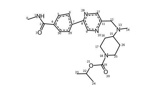 CNC(=O)c1ccc(-c2cnc(CN(C)C3CCN(C(=O)OC(C)C)CC3)cn2)cc1